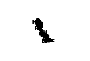 CCc1nc(-c2cccc3cc(-c4ccc(C(=O)NCCCCNc5ccc6c(c5)C(=O)N(C5CCC(=O)NC5=O)C6=O)nc4)ncc23)c2n1CCN(C(C)=O)C2